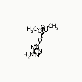 CCOP(=O)(C=CCOCn1cnc2c(N)ncnc21)OCC